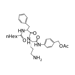 CCCCCCC(=O)NC(Cc1ccccc1)C(=O)N[C@@H](CCCN)C(=O)Nc1ccc(COC(C)=O)cc1